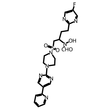 O=CN(O)C(CCc1ncc(F)cn1)CS(=O)(=O)N1CCN(c2ncc(-c3ccccn3)cn2)CC1